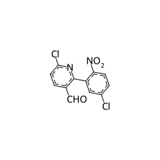 O=Cc1ccc(Cl)nc1-c1cc(Cl)ccc1[N+](=O)[O-]